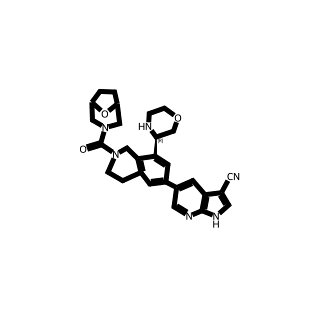 N#Cc1c[nH]c2ncc(-c3cc4c(c([C@@H]5COCCN5)c3)CN(C(=O)N3CC5CCC(C3)O5)CC4)cc12